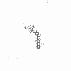 CC(C)(C)OC(=O)NCc1ccc2c(c1)C(CC(=O)NC(Cc1ccccc1)C(=O)O)CO2